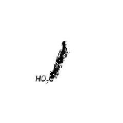 CC=CCOC(=O)[C@@H](C)OC(=O)c1ccc(N2CCN(c3ccc(C(=O)O)cn3)CC2)nc1